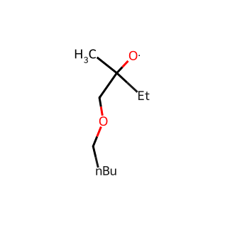 CCCCCOCC(C)([O])CC